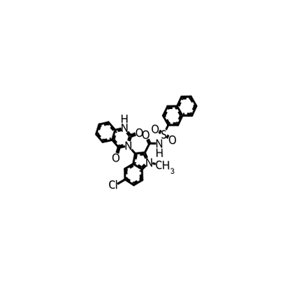 Cn1c(C(=O)NS(=O)(=O)c2ccc3ccccc3c2)c(-n2c(=O)[nH]c3ccccc3c2=O)c2cc(Cl)ccc21